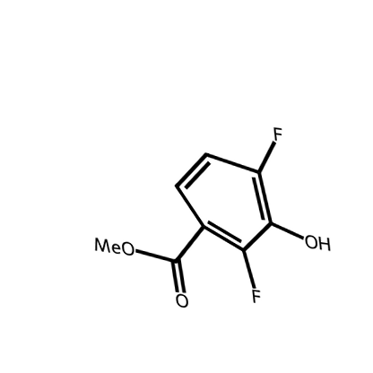 COC(=O)c1ccc(F)c(O)c1F